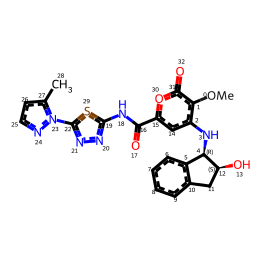 COc1c(N[C@@H]2c3ccccc3C[C@@H]2O)cc(C(=O)Nc2nnc(-n3nccc3C)s2)oc1=O